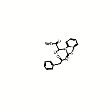 CCC(C(=O)OC)n1/c(=N\C(=O)Cc2ccccc2)sc2ccccc21